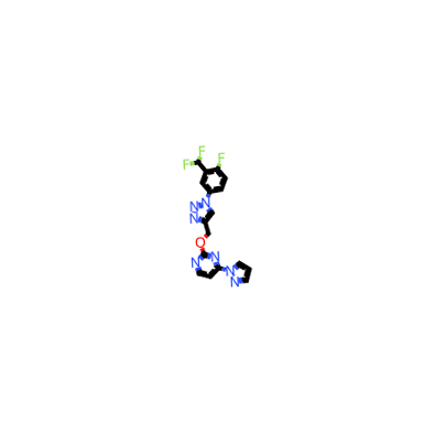 Fc1ccc(-n2cc(COc3nccc(-n4cccn4)n3)nn2)cc1C(F)F